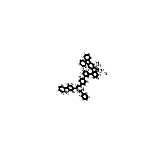 CC1(C)C2=CC3C4=CC=CCC4C4(CCCCC4)C3C=C2c2c(-c3cccc(C4=CCC(c5cc(-c6ccc7c(c6)OC6C=CC=CC76)nc(-c6ccccc6)n5)C=C4)c3)cccc21